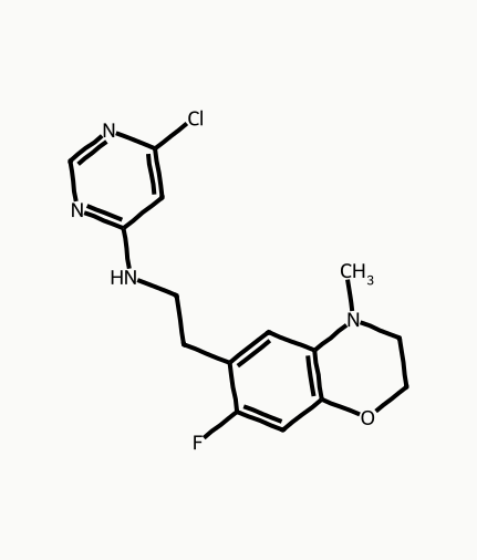 CN1CCOc2cc(F)c(CCNc3cc(Cl)ncn3)cc21